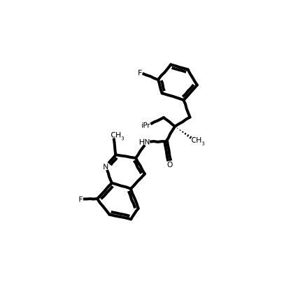 Cc1nc2c(F)cccc2cc1NC(=O)[C@](C)(Cc1cccc(F)c1)CC(C)C